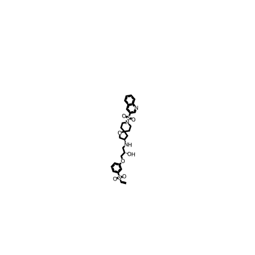 C=CS(=O)(=O)c1cccc(OC[C@@H](O)CN[C@H]2COC3(CCN(S(=O)(=O)c4cnc5ccccc5c4)CC3)C2)c1